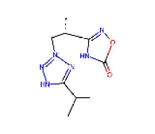 CC(C)c1n[n+](C[C@H](C)c2noc(=O)[nH]2)n[nH]1